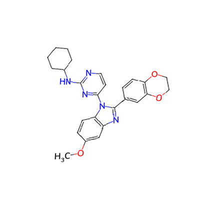 COc1ccc2c(c1)nc(-c1ccc3c(c1)OCCO3)n2-c1ccnc(NC2CCCCC2)n1